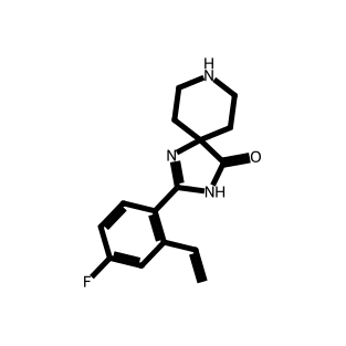 C=Cc1cc(F)ccc1C1=NC2(CCNCC2)C(=O)N1